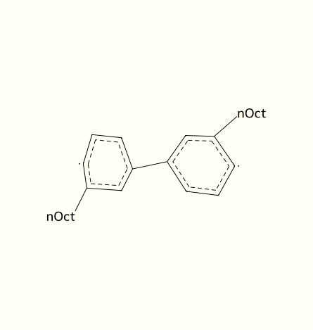 CCCCCCCCc1[c]ccc(-c2cc[c]c(CCCCCCCC)c2)c1